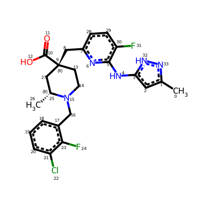 Cc1cc(Nc2nc(C[C@@]3(C(=O)O)CCN(Cc4cccc(Cl)c4F)[C@H](C)C3)ccc2F)[nH]n1